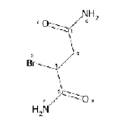 NC(=O)CC(Br)C(N)=O